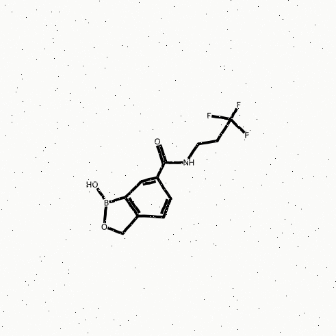 O=C(NCCC(F)(F)F)c1ccc2c(c1)B(O)OC2